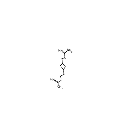 CC(=N)SCC[C@H]1C[C@@H](CSC(=N)N)C1